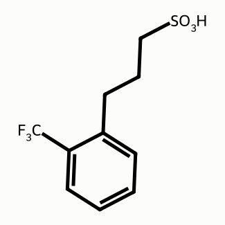 O=S(=O)(O)CCCc1ccccc1C(F)(F)F